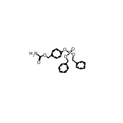 NC(=O)OCc1ccc(OP(=O)(OCc2ccccc2)OCc2ccccc2)cc1